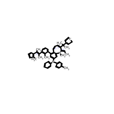 C/C=C1/C(C(C)(C)C2=CCCC=C2)=C\C=C/c2c(-c3cccc(/C(C)=C(\C)C4=C(C)C=C=C4)c3C)cc(N(c3ccccc3)c3ccc(C)cc3)cc2N1C